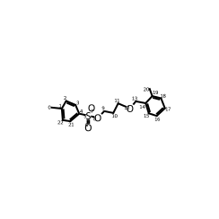 Cc1ccc(S(=O)(=O)OCCCOCc2ccccc2C)cc1